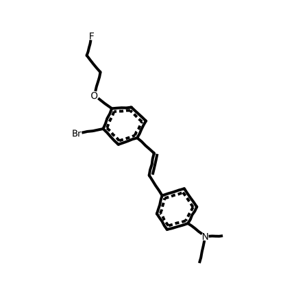 CN(C)c1ccc(/C=C/c2ccc(OCCF)c(Br)c2)cc1